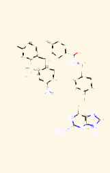 C=c1ccc2c(c1)[Si](C)(C)c1cc(N(C)C)ccc1C=2c1cc(C(=O)NCc2ccc(COc3nc(N)nc4[nH]cnc34)cc2)ccc1C(=O)O